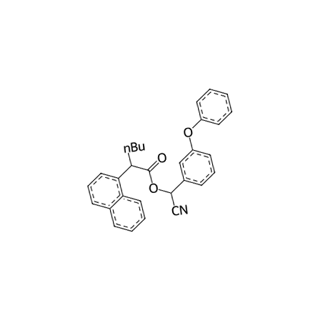 CCCCC(C(=O)OC(C#N)c1cccc(Oc2ccccc2)c1)c1cccc2ccccc12